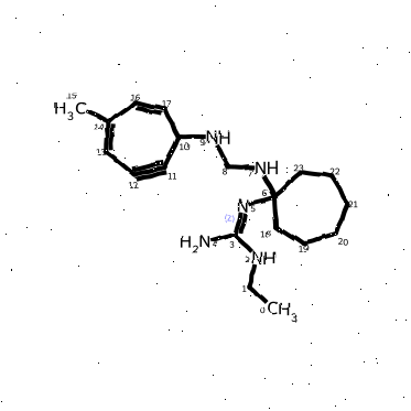 CCN/C(N)=N\C1(NCNC2C#CC=C(C)C=C2)CCCCCC1